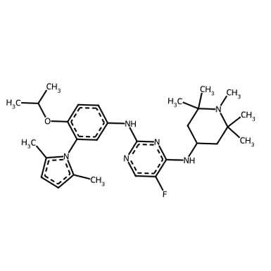 Cc1ccc(C)n1-c1cc(Nc2ncc(F)c(NC3CC(C)(C)N(C)C(C)(C)C3)n2)ccc1OC(C)C